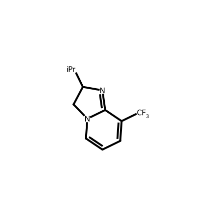 CC(C)C1CN2C=CC=C(C(F)(F)F)C2=N1